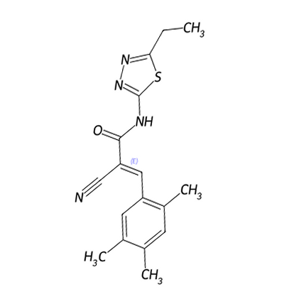 CCc1nnc(NC(=O)/C(C#N)=C/c2cc(C)c(C)cc2C)s1